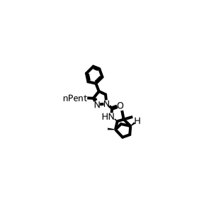 CCCCCC1=NN(C(=O)N[C@@H]2C(C)(C)[C@@H]3CC[C@@]2(C)C3)CC1c1ccccc1